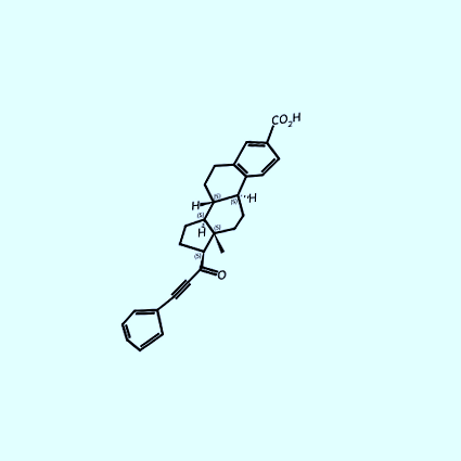 C[C@]12CC[C@@H]3c4ccc(C(=O)O)cc4CC[C@H]3[C@@H]1CC[C@@H]2C(=O)C#Cc1ccccc1